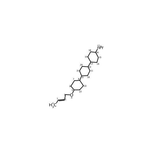 CC=CCOC1CCC(C2CCC(C3CCC(CCC)CC3)CC2)CC1